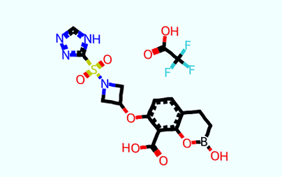 O=C(O)C(F)(F)F.O=C(O)c1c(OC2CN(S(=O)(=O)c3nnc[nH]3)C2)ccc2c1OB(O)CC2